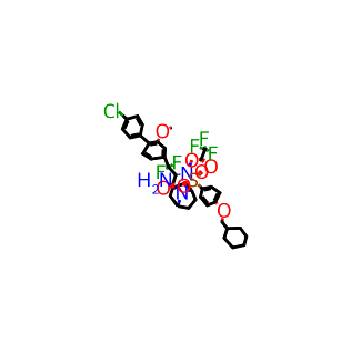 COc1cc(C(F)(F)[C@@H](C(=O)N2C3CCC2CC(N)C3)N(OC(=O)C(F)(F)F)S(=O)(=O)c2ccc(OCC3CCCCC3)cc2)ccc1-c1ccc(Cl)cc1